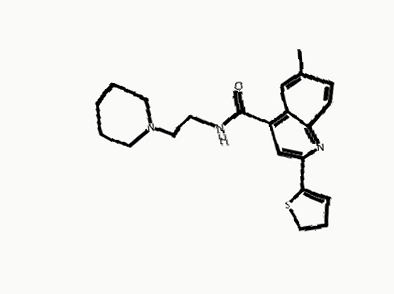 Cc1ccc2nc(C3=CCCS3)cc(C(=O)NCCN3CCCCC3)c2c1